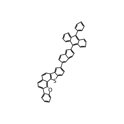 c1ccc(-c2c3ccccc3c(-c3ccc4cc(-c5ccc6sc7c(ccc8ccc9c%10ccccc%10oc9c87)c6c5)ccc4c3)c3ccccc23)cc1